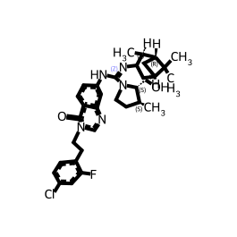 C[C@@H]1C(/N=C(/Nc2ccc3c(=O)n(CCc4ccc(Cl)cc4F)cnc3c2)N2CC[C@H](C)[C@H]2CO)C[C@@H]2C[C@H]1C2(C)C